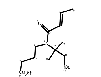 CC=CC(=O)N(CCCC(=O)OCC)C(C)(C)CC(C)(C)C